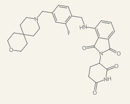 O=C1CCC(N2C(=O)c3cccc(NCc4ccc(CN5CCC6(CCOCC6)CC5)cc4F)c3C2=O)C(=O)N1